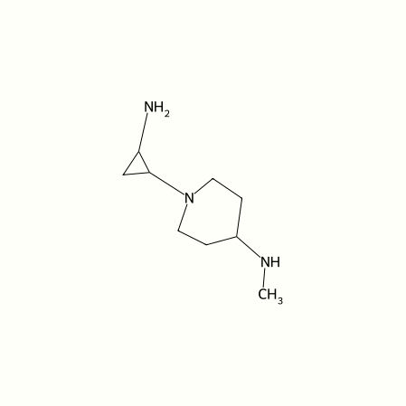 CNC1CCN(C2CC2N)CC1